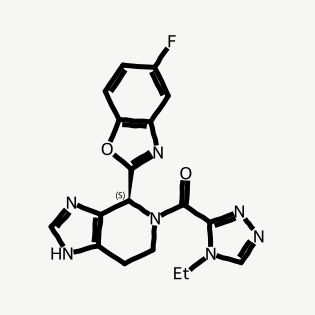 CCn1cnnc1C(=O)N1CCc2[nH]cnc2[C@H]1c1nc2cc(F)ccc2o1